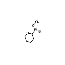 CC[C@@H](OC#N)C1CCCCO1